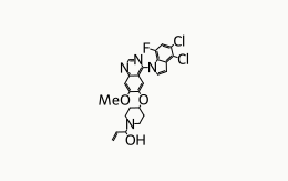 C=CC(O)N1CCC(Oc2cc3c(-n4ccc5c(Cl)c(Cl)cc(F)c54)ncnc3cc2OC)CC1